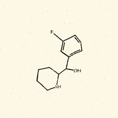 OC(c1cccc(F)c1)C1CCCCN1